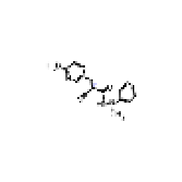 Bc1ccc(/C=C(\C#N)C(=O)N[C@@H](C)c2ccccc2)cn1